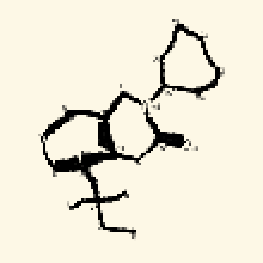 CCC(C)(C)c1cccc2c1CC(=O)N(C1CCCCC1)C2